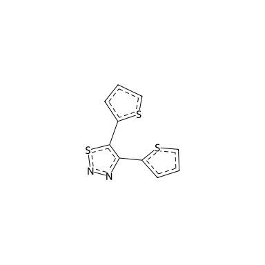 c1csc(-c2nnsc2-c2cccs2)c1